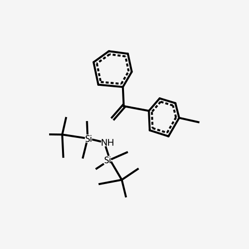 C=C(c1ccccc1)c1ccc(C)cc1.CC(C)(C)[Si](C)(C)N[Si](C)(C)C(C)(C)C